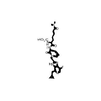 CN(C)C(=O)/C=C/CCC(NC(=O)O)C(=O)Nc1cccn(Cc2nc3c(F)cnc(CC4CC4)c3[nH]2)c1=O